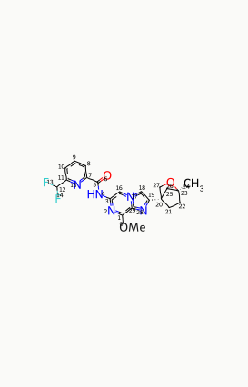 COc1nc(NC(=O)c2cccc(C(F)F)n2)cn2cc([C@@]34CC[C@@](C)(C3)OC4)nc12